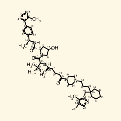 Cc1ncsc1-c1ccc([C@H](C)NC(=O)[C@@H]2C[C@@H](O)CN2C(=O)[C@@H](NC(=O)CCCC(=O)N2CCN(CCCC3(Cn4ncc(I)c4C)CCCCC3)CC2)C(C)(C)C)cc1